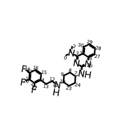 CN(C)c1nc(N[C@H]2CC[C@@H](NCCc3ccc(F)c(F)c3F)CC2)nc2ccccc12